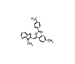 Cc1ccc(C(=O)O/C(=C\c2nc3ccccc3n2C)c2ccc(C)cc2)cc1